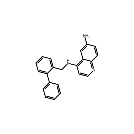 Nc1ccc2nccc(NCc3ccccc3-c3ccccc3)c2c1